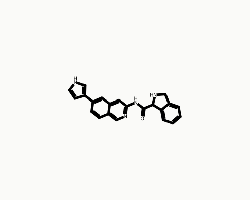 O=C(Nc1cc2cc(-c3cc[nH]c3)ccc2cn1)C1NCc2ccccc21